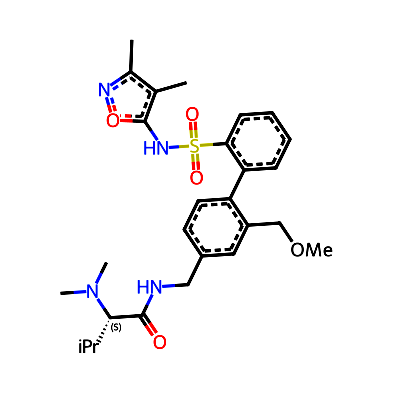 COCc1cc(CNC(=O)[C@H](C(C)C)N(C)C)ccc1-c1ccccc1S(=O)(=O)Nc1onc(C)c1C